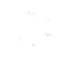 CC(C)(C)c1c(N)c(F)c(I)c(F)c1N